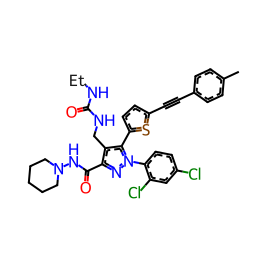 CCNC(=O)NCc1c(C(=O)NN2CCCCC2)nn(-c2ccc(Cl)cc2Cl)c1-c1ccc(C#Cc2ccc(C)cc2)s1